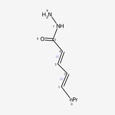 CCC/C=C/C=C/C(=O)NN